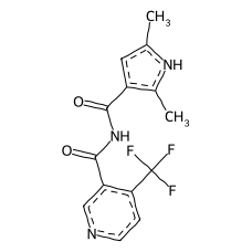 Cc1cc(C(=O)NC(=O)c2cnccc2C(F)(F)F)c(C)[nH]1